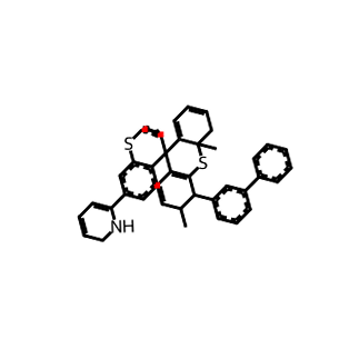 CC1C=CC2=C(SC3(C)CC=CC=C3C23c2ccccc2Sc2cc(C4=CC=CCN4)ccc23)C1c1cccc(-c2ccccc2)c1